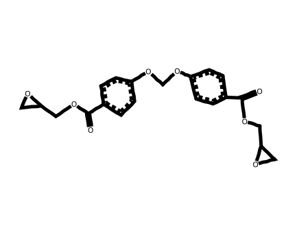 O=C(OCC1CO1)c1ccc(OCOc2ccc(C(=O)OCC3CO3)cc2)cc1